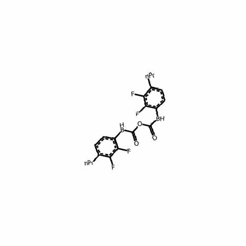 CCCc1ccc(BC(=O)OC(=O)Bc2ccc(CCC)c(F)c2F)c(F)c1F